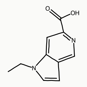 CCn1ccc2cnc(C(=O)O)cc21